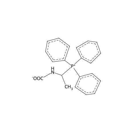 CC(NC(=O)[O-])[P+](c1ccccc1)(c1ccccc1)c1ccccc1